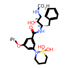 CC(C)Oc1cc(C(=O)N[C@@H](Cc2ccccc2)[C@H](O)CNC(=O)O)cc(N2CCCCS2(O)O)c1